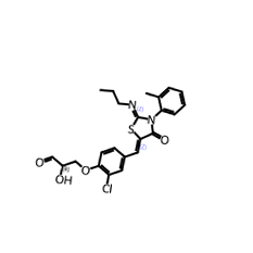 CCC/N=C1\S/C(=C\c2ccc(OC[C@@H](O)C=O)c(Cl)c2)C(=O)N1c1ccccc1C